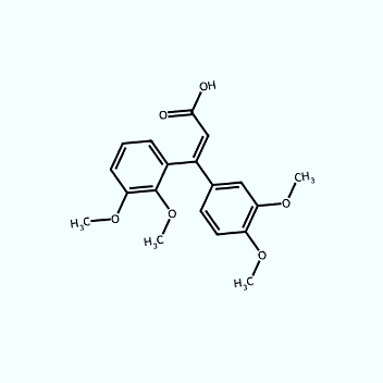 COc1ccc(C(=CC(=O)O)c2cccc(OC)c2OC)cc1OC